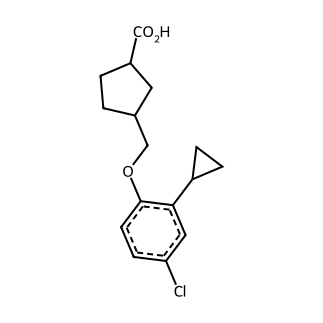 O=C(O)C1CCC(COc2ccc(Cl)cc2C2CC2)C1